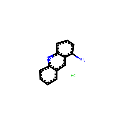 Cl.Nc1cccc2nc3ccccc3cc12